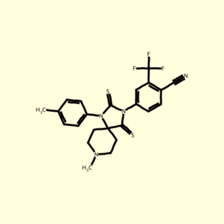 Cc1ccc(N2C(=S)N(c3ccc(C#N)c(C(F)(F)F)c3)C(=S)C23CCN(C)CC3)cc1